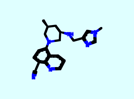 C[C@H]1C[C@@H](NCc2cn(C)cn2)CN(c2ccc(C#N)c3ncccc23)C1